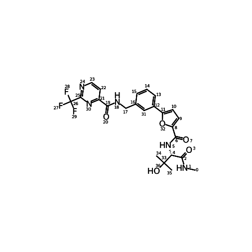 CNC(=O)[C@@H](NC(=O)c1ccc(-c2cccc(CNC(=O)c3ccnc(C(F)(F)F)n3)c2)o1)C(C)(C)O